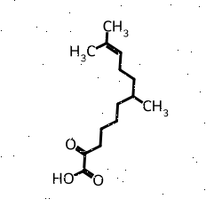 CC(C)=CCCC(C)CCCCC(=O)C(=O)O